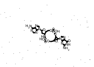 CC1C2COP(=O)(O)NC3CC(n4cnc5c(N)ncnc54)OC3COP(=O)(O)OC1C(n1cnc3c(=O)[nH]c(N)nc31)O2